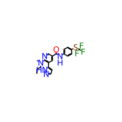 CCCN(C)c1ncc(C(=O)Nc2ccc(SC(F)(F)F)cc2)cc1-c1ccn[nH]1